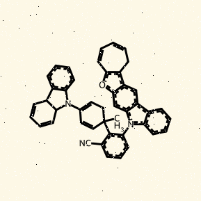 CC1(c2c(C#N)cccc2-n2c3ccccc3c3cc4c5c(oc4cc32)C=CC=CC5)C=CC(N2c3ccccc3C3C=CC=CC32)=CC1